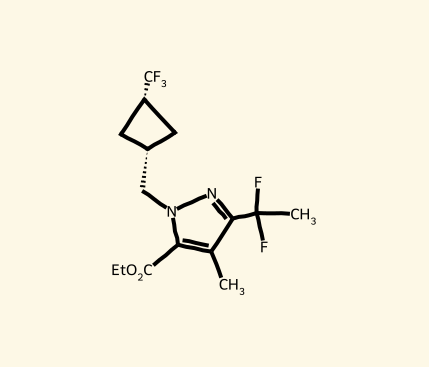 CCOC(=O)c1c(C)c(C(C)(F)F)nn1C[C@H]1C[C@@H](C(F)(F)F)C1